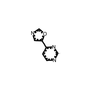 [c]1nccc(-c2cnco2)n1